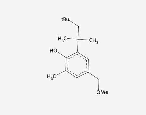 COCc1cc(C)c(O)c(C(C)(C)CC(C)(C)C)c1